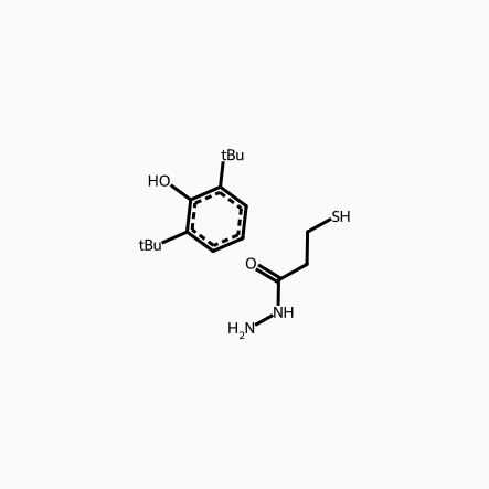 CC(C)(C)c1cccc(C(C)(C)C)c1O.NNC(=O)CCS